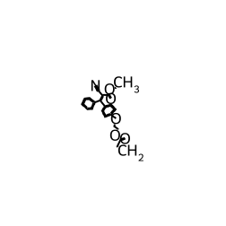 C=CC(=O)OCCOc1ccc(/C(=C(/C#N)C(=O)OCC)c2ccccc2)cc1